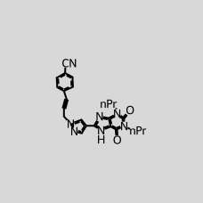 CCCn1c(=O)c2[nH]c(-c3cnn(CC#Cc4ccc(C#N)cc4)c3)nc2n(CCC)c1=O